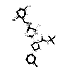 Cc1cccc([C@@H]2C[C@H](C(=O)N[C@@H](C)C(=O)NCc3cc(Cl)ccc3O)N(C(=O)OC(C)(C)C)C2)c1